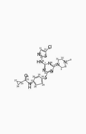 CN1CCN(c2nc(Nc3ncc(Cl)s3)nc(Sc3ccc(NC(=O)C4CC4)cc3)n2)CC1